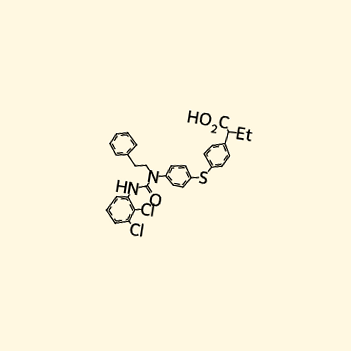 CCC(C(=O)O)c1ccc(Sc2ccc(N(CCc3ccccc3)C(=O)Nc3cccc(Cl)c3Cl)cc2)cc1